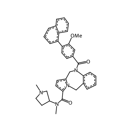 COc1cc(C(=O)N2Cc3ccc(C(=O)N(C)C4CCN(C)C4)n3Cc3ccccc32)ccc1-c1cccc2ccccc12